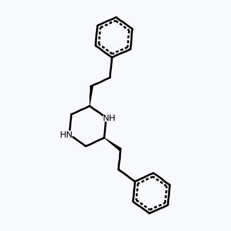 c1ccc(CC[C@@H]2CNC[C@H](CCc3ccccc3)N2)cc1